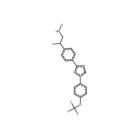 FC(CNCl)c1ccc(-c2ncn(-c3ccc(OC(F)(F)F)cc3)n2)cc1